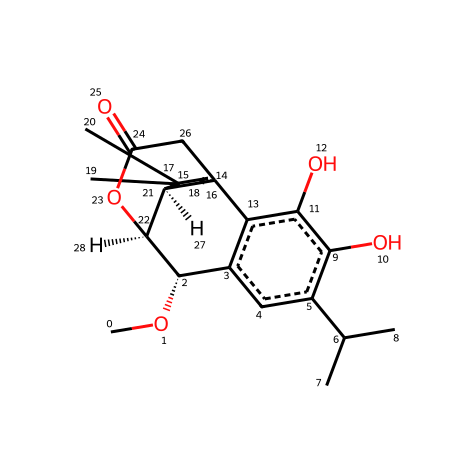 CO[C@H]1c2cc(C(C)C)c(O)c(O)c2[C@@]23CCCC(C)(C)[C@@H]2[C@@H]1OC(=O)C3